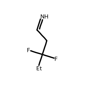 CCC(F)(F)CC=N